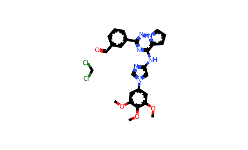 COc1cc(-n2cnc(Nc3nc(-c4cccc(C=O)c4)nn4cccc34)c2)cc(OC)c1OC.ClCCl